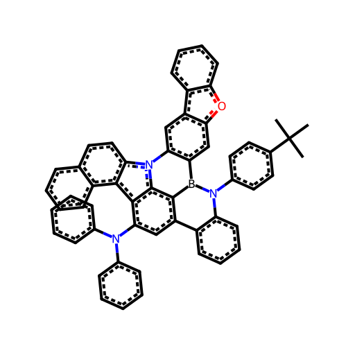 CC(C)(C)c1ccc(N2B3c4cc5oc6ccccc6c5cc4-n4c5ccc6ccccc6c5c5c(N(c6ccccc6)c6ccccc6)cc(c3c54)-c3ccccc32)cc1